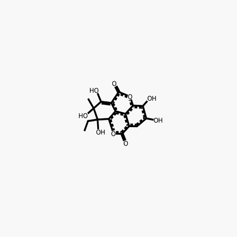 CCC1(O)c2oc(=O)c3cc(O)c(O)c4oc(=O)c(c2c43)=C(O)C1(C)O